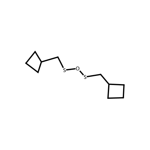 C1CC(CSOSCC2CCC2)C1